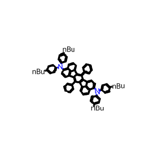 CCCCc1ccc(N(c2ccc(CCCC)cc2)c2ccc3c4c(-c5ccccc5)c5c6cccc7c(N(c8ccc(CCCC)cc8)c8ccc(CCCC)cc8)ccc(c5c(-c5ccccc5)c4c4cccc2c43)c76)cc1